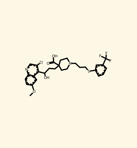 COc1ccc2ncc(Cl)c(C(O)CCC3(C(=O)O)CCN(CCCSc4cccc(C(F)(F)F)c4)CC3)c2c1